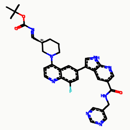 CC(C)(C)OC(=O)N=C[C@H]1CCCN(c2ccnc3c(F)cc(-c4c[nH]c5ncc(C(=O)NCc6cncnc6)cc45)cc23)C1